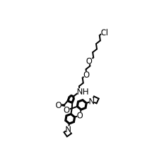 O=C1OC2(c3ccc(N4CCC4)cc3Oc3cc(N4CCC4)ccc32)c2cc(NCCCOCCOCCCCCCCl)ccc21